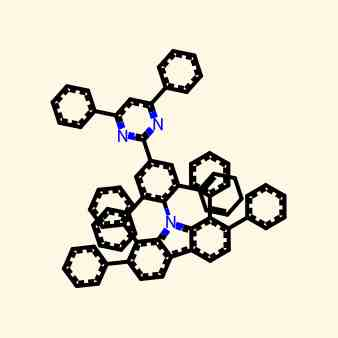 C1=CC(c2cc(-c3nc(-c4ccccc4)cc(-c4ccccc4)n3)cc(-c3ccccc3)c2-n2c3c(-c4ccccc4)c(-c4ccccc4)ccc3c3ccc(-c4ccccc4)c(-c4ccccc4)c32)=CCC1